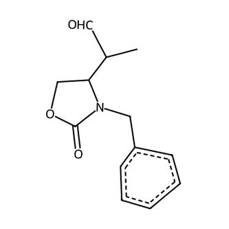 CC(C=O)C1COC(=O)N1Cc1ccccc1